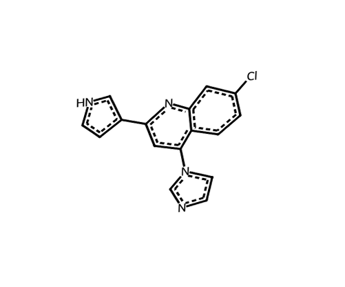 Clc1ccc2c(-n3ccnc3)cc(-c3cc[nH]c3)nc2c1